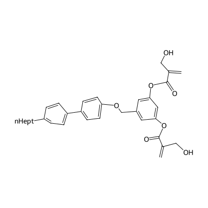 C=C(CO)C(=O)Oc1cc(COc2ccc(-c3ccc(CCCCCCC)cc3)cc2)cc(OC(=O)C(=C)CO)c1